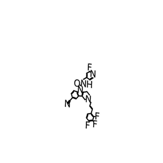 N#Cc1ccc2c(c1)c1c(n2C(=O)NCc2ccnc(F)c2)CCN(CC=Cc2ccc(F)c(F)c2F)C1